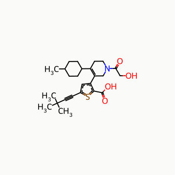 CC1CCC(C2=C(c3cc(C#CC(C)(C)C)sc3C(=O)O)CN(C(=O)CO)CC2)CC1